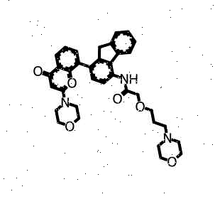 O=C(COCCCN1CCOCC1)Nc1ccc(-c2cccc3c(=O)cc(N4CCOCC4)oc23)c2c1-c1ccccc1C2